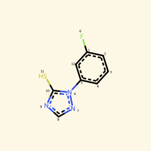 Fc1cccc(-n2ncnc2S)c1